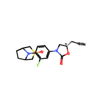 CC(=O)NC[C@H]1CN(c2ccc(N3C4CCC3C[S+]([O-])C4)c(F)c2)C(=O)O1